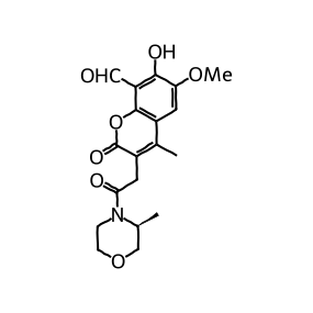 COc1cc2c(C)c(CC(=O)N3CCOC[C@@H]3C)c(=O)oc2c(C=O)c1O